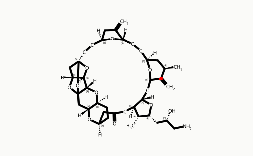 C=C1C[C@@H]2CC[C@@]34C[C@H]5OC6C(O3)[C@H]3O[C@H](CC[C@@H]3O[C@H]6[C@H]5O4)CC(=O)C[C@@H]3[C@@H](C)[C@@H](C[C@H](O)CN)O[C@H]3C[C@H]3O[C@@H](CC[C@@H]1O2)C[C@@H](C)C3=C